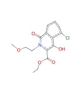 CCOC(=O)c1c(O)c2c(Cl)cccc2c(=O)n1CCOC